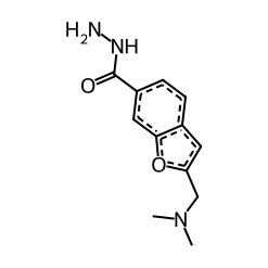 CN(C)Cc1cc2ccc(C(=O)NN)cc2o1